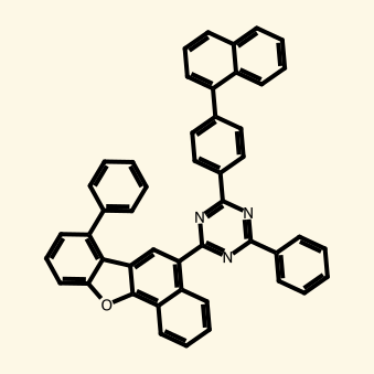 c1ccc(-c2nc(-c3ccc(-c4cccc5ccccc45)cc3)nc(-c3cc4c(oc5cccc(-c6ccccc6)c54)c4ccccc34)n2)cc1